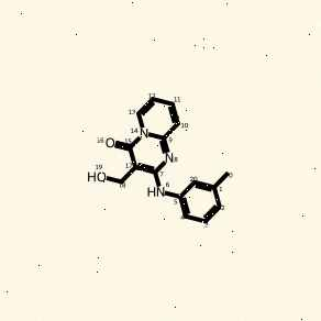 Cc1cccc(Nc2nc3ccccn3c(=O)c2CO)c1